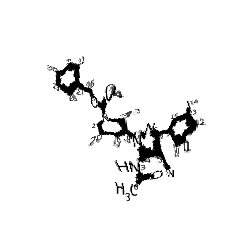 CC(=O)Nc1c(C#N)c(-c2cccc(I)c2)nn1C1CCCN(C(=O)OCc2ccccc2)C1